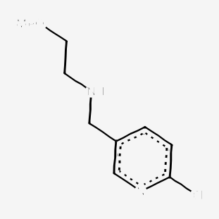 COCCNCc1ccc(Cl)nc1